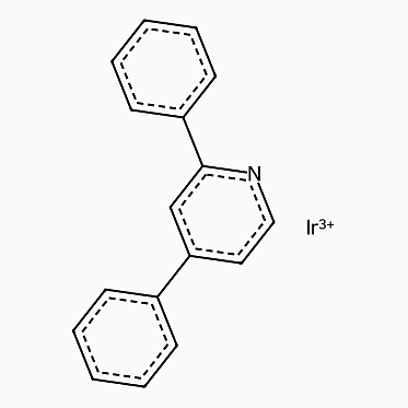 [Ir+3].c1ccc(-c2ccnc(-c3ccccc3)c2)cc1